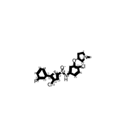 CN1CC[C@@H](Oc2cc(N[S+]([O-])c3cc(Cl)c(-c4cccc(F)c4)s3)ccc2Cl)C1